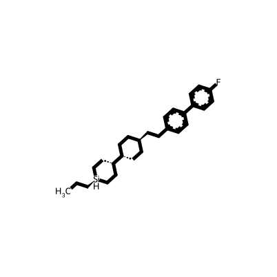 CCC[Si@H]1CC[C@H]([C@H]2CC[C@H](CCc3ccc(-c4ccc(F)cc4)cc3)CC2)CC1